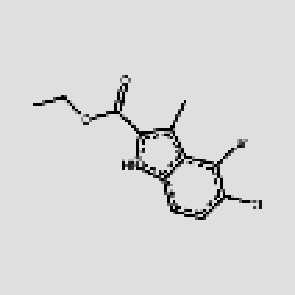 CCOC(=O)c1[nH]c2ccc(Cl)c(Br)c2c1C